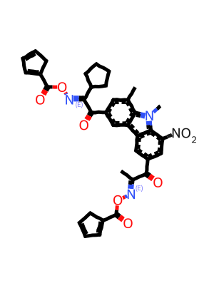 C/C(=N\OC(=O)C1=CC=CC1)C(=O)c1cc([N+](=O)[O-])c2c(c1)c1cc(C(=O)/C(=N/OC(=O)C3=CC=CC3)C3CCCC3)cc(C)c1n2C